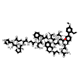 CCc1cc(OC)ccc1-c1ccc(C[C@H](NC(=O)[C@H](CC(=O)O)NC(=O)[C@H](CO)NC(=O)[C@@H](NC(=O)[C@](C)(Cc2ccccc2F)NC(=O)[C@@H](NC(=O)CNC(=O)[C@H](CCC(=O)O)NC(=O)[C@]2(C)CCCN2C(=O)[C@@H](N)Cc2c[nH]cn2)[C@@H](C)O)[C@@H](C)O)C(=O)N[C@@H](CCC(=O)N2CCc3ccccc3C2)C(N)=O)cc1